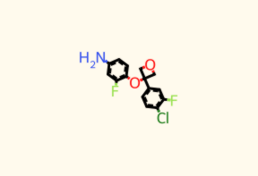 Nc1ccc(OC2(c3ccc(Cl)c(F)c3)COC2)c(F)c1